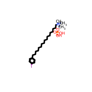 C[N+](C)(C)CC(CCCCCCCCCCCCCCCc1ccc(I)cc1)OP(=O)(O)O